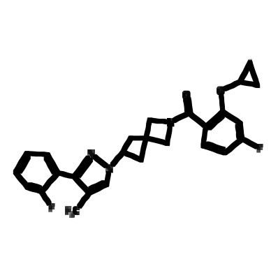 O=C(c1ccc(F)cc1OC1CC1)N1CC2(CC(n3cc(C(F)(F)F)c(-c4ccccc4F)n3)C2)C1